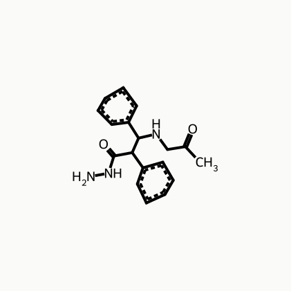 CC(=O)CNC(c1ccccc1)C(C(=O)NN)c1ccccc1